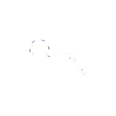 CC/C=C\C/C=C\C/C=C\C/C=C\C/C=C\CCCCOC(CC)C(=O)NCCOC(N)=O